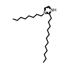 CCCCCCCCCCCCc1[nH]cc[n+]1CCCCCCCC